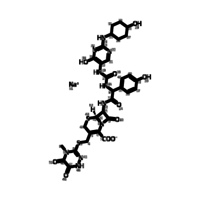 Cn1c(SCC2=C(C(=O)[O-])N3C(=O)C(NC(=O)C(NC(=O)Nc4cnc(NC5CCC(O)CC5)nc4O)c4ccc(O)cc4)[C@@H]3SC2)n[nH]c(=O)c1=O.[Na+]